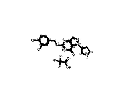 O=C(O)C(F)(F)F.O=c1[nH]c(NCc2ccc(Cl)c(Cl)c2)nc2cnn(C3CCNC3)c12